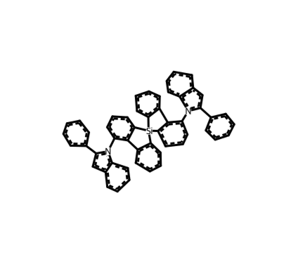 c1ccc(-c2cc3ccccc3n2-c2cccc3c2-c2ccccc2[Si]32c3ccccc3-c3c(-n4c(-c5ccccc5)cc5ccccc54)cccc32)cc1